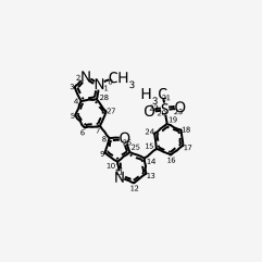 Cn1ncc2ccc(-c3cc4nccc(-c5cccc(S(C)(=O)=O)c5)c4o3)cc21